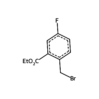 CCOC(=O)c1cc(F)ccc1CBr